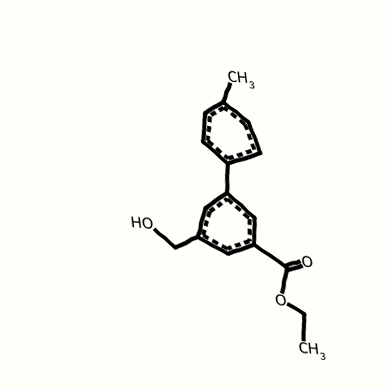 CCOC(=O)c1cc(CO)cc(-c2ccc(C)cc2)c1